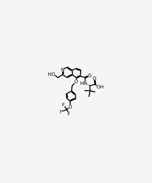 CC(C)(C)[C@H](NC(=O)c1ccc2cnc(CO)cc2c1OCc1ccc(OC(F)(F)F)cc1)C(=O)O